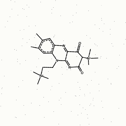 Cc1cc2c(cc1C)N(CC[N+](C)(C)C)C1=NC(=O)C([N+](C)(C)C)C(=O)C1=N2